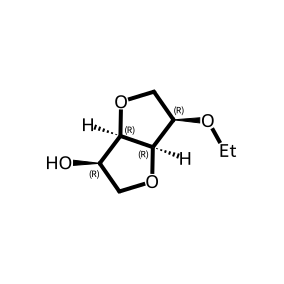 CCO[C@@H]1CO[C@H]2[C@@H]1OC[C@H]2O